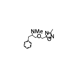 CN[C@@H](COCc1nc(C)no1)Cc1ccccc1